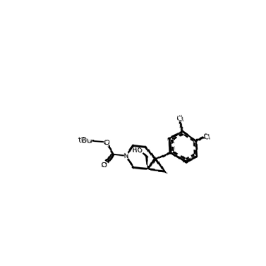 CC(C)(C)OC(=O)N1CCC2(c3ccc(Cl)c(Cl)c3)C[C@]2(CO)C1